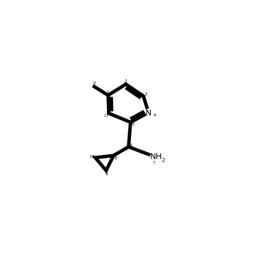 Cc1ccnc(C(N)C2CC2)c1